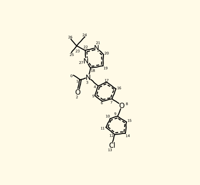 CC(=O)N(c1ccc(Oc2ccc(Cl)cc2)cc1)c1ccnc(C(C)(C)C)n1